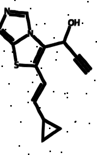 C#CC(O)c1c(/C=C/C2CC2)sc2cncn12